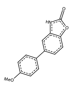 COc1ccc(-c2ccc3oc(=O)[nH]c3c2)cc1